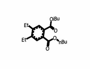 CCCCOC(=O)c1cc(CC)c(CC)cc1C(=O)OCC(C)C